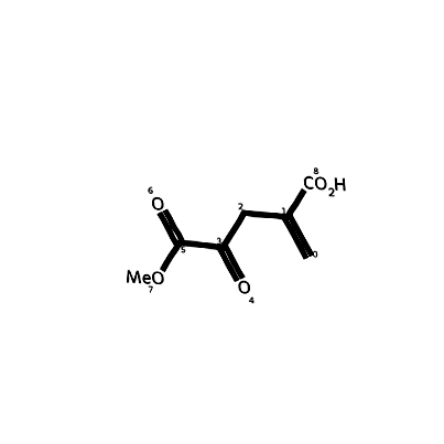 C=C(CC(=O)C(=O)OC)C(=O)O